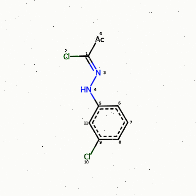 CC(=O)C(Cl)=NNc1cccc(Cl)c1